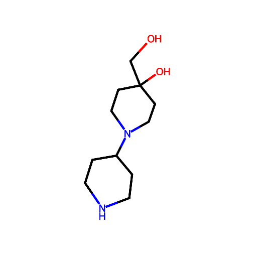 OCC1(O)CCN(C2CCNCC2)CC1